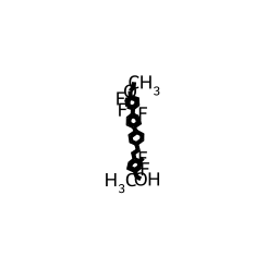 CCOc1ccc(-c2ccc(C3=CCC(CCc4ccc(C(C)O)c(F)c4F)CC3)cc2F)c(F)c1F